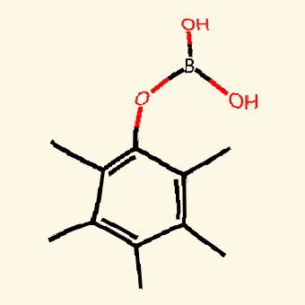 Cc1c(C)c(C)c(OB(O)O)c(C)c1C